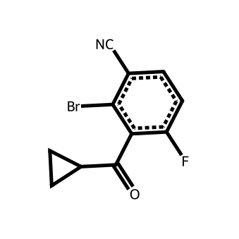 N#Cc1ccc(F)c(C(=O)C2CC2)c1Br